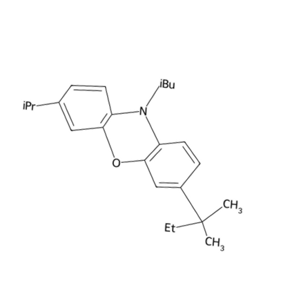 CCC(C)N1c2ccc(C(C)C)cc2Oc2cc(C(C)(C)CC)ccc21